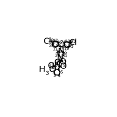 CC12CCCCC1C(=O)N(OC(=O)N1CCN(C(c3ccc(Cl)cc3)c3ccc(Cl)cc3)CC1)C2=O